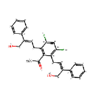 COC(=O)c1c(CC=C(CO)c2ccccc2)c(F)cc(F)c1C/C=C(\CO)c1ccccc1